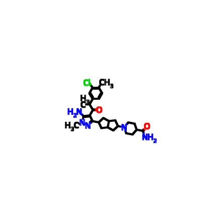 Cc1ccc(C(C)C(=O)c2c(C3CC4CC(N5CCC(C(N)=O)CC5)CC4C3)nn(C)c2N)cc1Cl